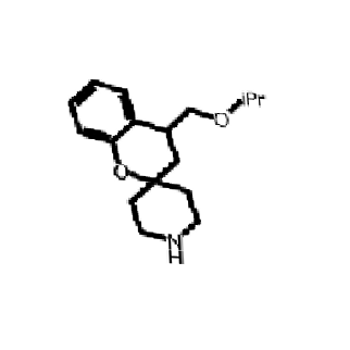 CC(C)OCC1CC2(CCNCC2)Oc2ccccc21